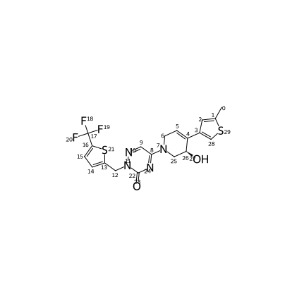 Cc1cc(C2=CCN(c3cnn(Cc4ccc(C(F)(F)F)s4)c(=O)n3)C[C@@H]2O)cs1